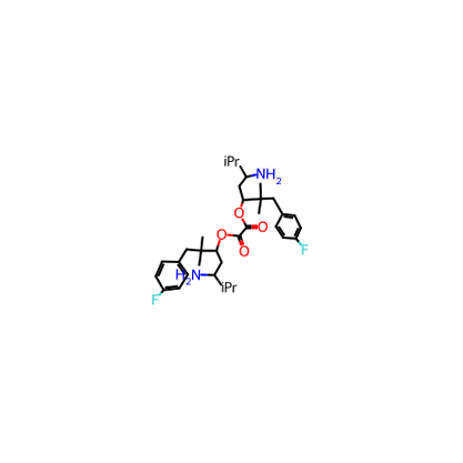 CC(C)C(N)CC(OC(=O)C(=O)OC(CC(N)C(C)C)C(C)(C)Cc1ccc(F)cc1)C(C)(C)Cc1ccc(F)cc1